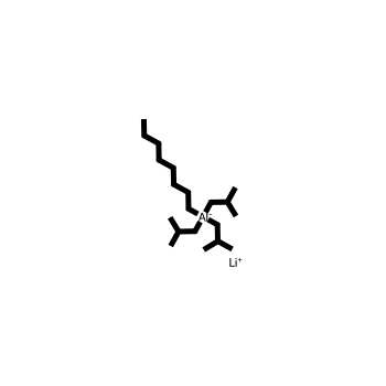 CCCCCCC[CH2][Al-]([CH2]C(C)C)([CH2]C(C)C)[CH2]C(C)C.[Li+]